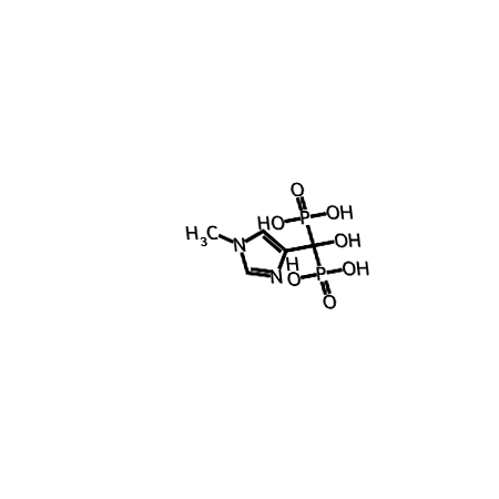 Cn1cnc(C(O)(P(=O)(O)O)P(=O)(O)O)c1